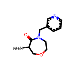 CNC1COCCN(Cc2cccnc2)C1=O